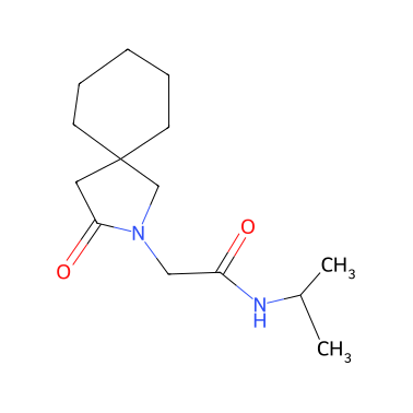 CC(C)NC(=O)CN1CC2(CCCCC2)CC1=O